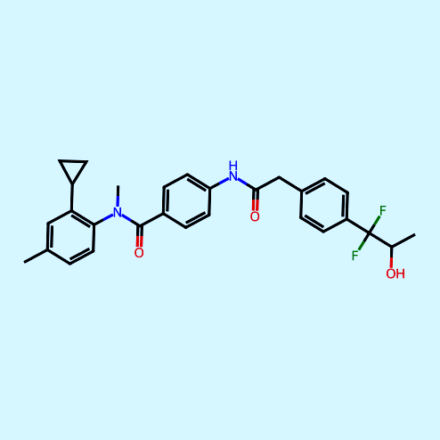 Cc1ccc(N(C)C(=O)c2ccc(NC(=O)Cc3ccc(C(F)(F)C(C)O)cc3)cc2)c(C2CC2)c1